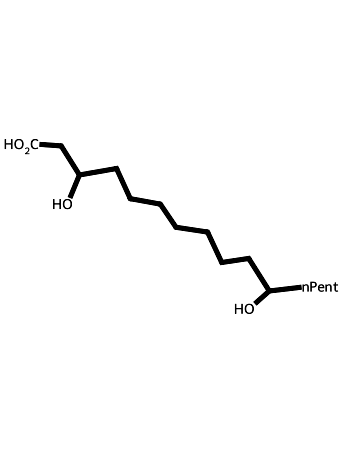 CCCCCC(O)CCCCCCCC(O)CC(=O)O